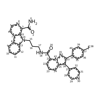 NC(=O)c1nccc2c3ccccc3n(CCCNC(=O)c3cccc4c(-c5ccncc5)c(-c5ccc(F)cc5)nn34)c12